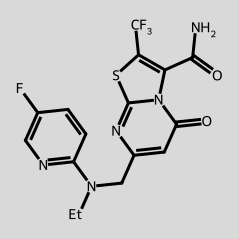 CCN(Cc1cc(=O)n2c(C(N)=O)c(C(F)(F)F)sc2n1)c1ccc(F)cn1